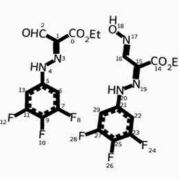 CCOC(=O)/C(C=O)=N/Nc1cc(F)c(F)c(F)c1.CCOC(=O)C(/C=N/O)=N/Nc1cc(F)c(F)c(F)c1